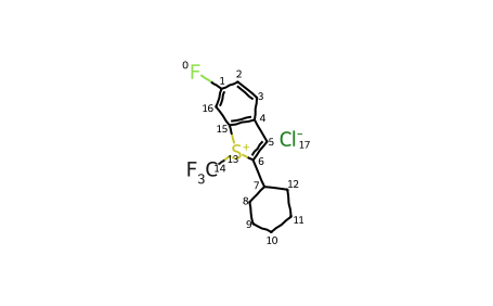 Fc1ccc2cc(C3CCCCC3)[s+](C(F)(F)F)c2c1.[Cl-]